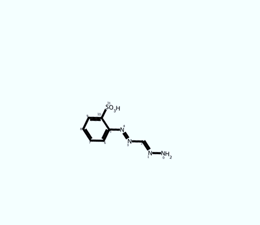 NN=CN=Nc1ccccc1S(=O)(=O)O